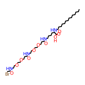 CCCCCCCCCCCCCC(=O)NC(CCCCNC(=O)CCOCCOCCNC(=O)CCOCCOCCNC(=O)CBr)C(=O)O